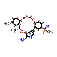 Cc1ccc2c(c1)[C@@H](C)Oc1cc(cnc1N)-c1cc(S(C)(=N)=O)ccc1OCCO2